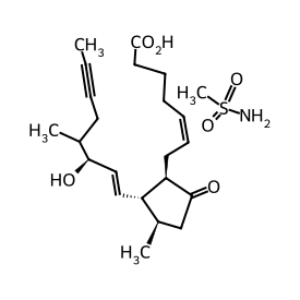 CC#CCC(C)[C@H](O)/C=C/[C@H]1[C@H](C)CC(=O)[C@@H]1C/C=C\CCCC(=O)O.CS(N)(=O)=O